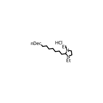 CCCCCCCCCCCCCCCCCC1N(CC)CCN1CC.Cl